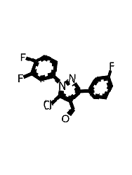 O=Cc1c(-c2cccc(F)c2)nn(-c2ccc(F)c(F)c2)c1Cl